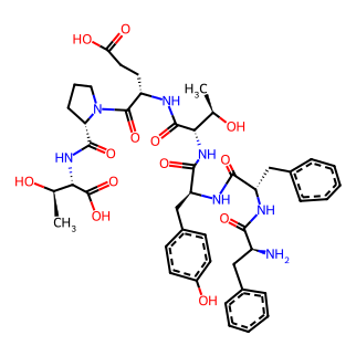 C[C@@H](O)[C@H](NC(=O)[C@@H]1CCCN1C(=O)[C@H](CCC(=O)O)NC(=O)[C@@H](NC(=O)[C@H](Cc1ccc(O)cc1)NC(=O)[C@H](Cc1ccccc1)NC(=O)[C@@H](N)Cc1ccccc1)[C@@H](C)O)C(=O)O